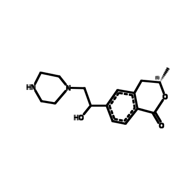 C[C@H]1Cc2cc(C(O)CN3CCNCC3)ccc2C(=O)O1